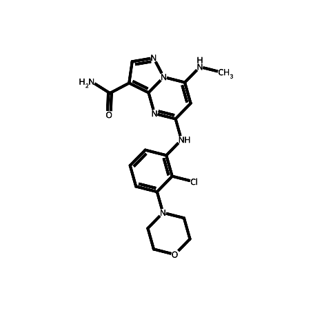 CNc1cc(Nc2cccc(N3CCOCC3)c2Cl)nc2c(C(N)=O)cnn12